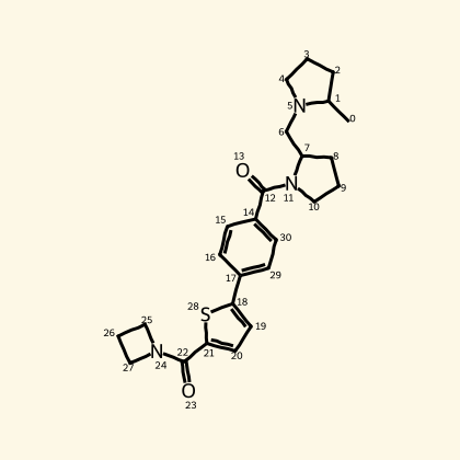 CC1CCCN1CC1CCCN1C(=O)c1ccc(-c2ccc(C(=O)N3CCC3)s2)cc1